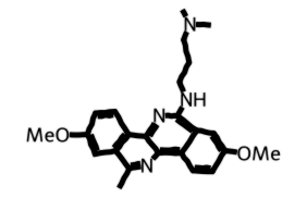 COc1ccc2c(c1)c(C)nc1c3ccc(OC)cc3c(NCCCN(C)C)nc21